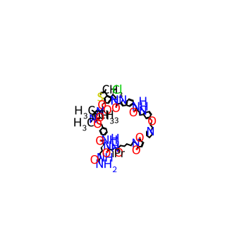 Cc1csc2c(OC(=O)N(C)CC(C)(C)CN(C)C(=O)OCc3ccc(NC(=O)[C@H](CCCNC(N)=O)NC(=O)[C@@H](NC(=O)CCCCCN4C(=O)C=CC4=O)C(C)C)cc3)cc3c(c12)[C@@H](CCl)CN3C(=O)c1cc2cc(NC(=O)c3cc4cc(OCCN5CCCC5)ccc4[nH]3)ccc2[nH]1